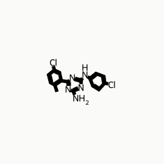 Cc1ccc(Cl)cc1-c1nc(N)nc(Nc2ccc(Cl)cc2)n1